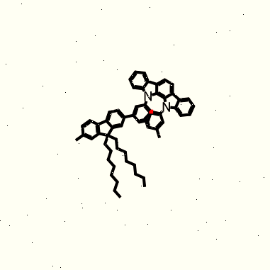 CCCCCCCCC1(CCCCCCCC)c2cc(C)ccc2-c2ccc(-c3cccc(-n4c5ccccc5c5ccc6c7ccccc7n(-c7cccc(C)c7)c6c54)c3)cc21